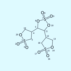 O=S1(=O)CC(C2OS(=O)(=O)OC2C2COS(=O)(=O)C2)CO1